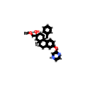 CCOC[C@@]1(O)CC[C@@]2(Cc3ccccc3)c3ccc(Oc4cnccn4)cc3CC[C@@H]2C1